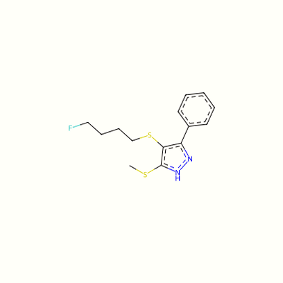 CSc1[nH]nc(-c2ccccc2)c1SCCCCF